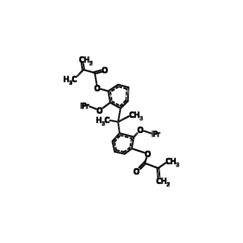 C=C(C)C(=O)Oc1cccc(C(C)(C)c2cccc(OC(=O)C(=C)C)c2OC(C)C)c1OC(C)C